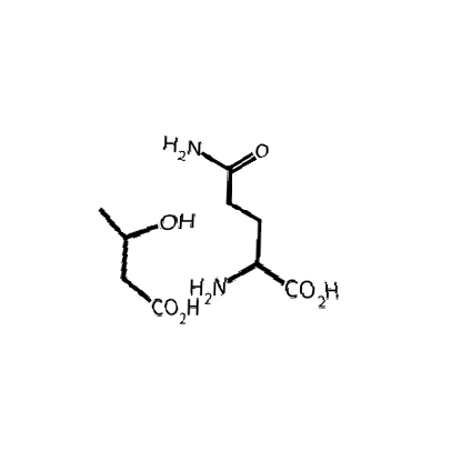 CC(O)CC(=O)O.NC(=O)CCC(N)C(=O)O